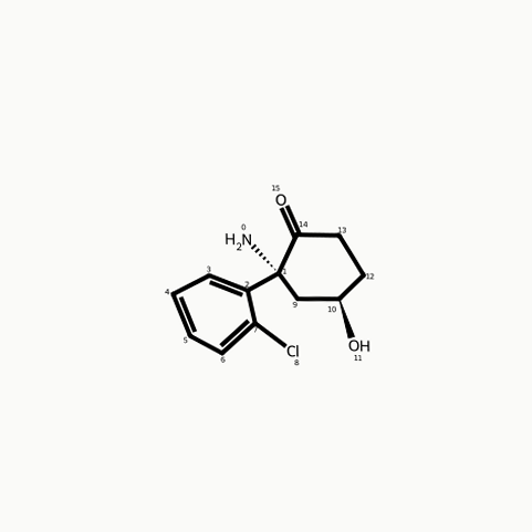 N[C@@]1(c2ccccc2Cl)C[C@H](O)CCC1=O